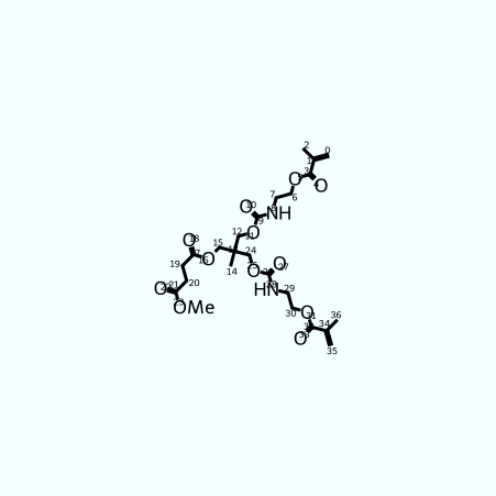 C=C(C)C(=O)OCCNC(=O)OCC(C)(COC(=O)CCC(=O)OC)COC(=O)NCCOC(=O)C(=C)C